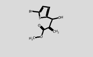 C=C(C(=O)OC)C(O)c1ccc(Br)s1